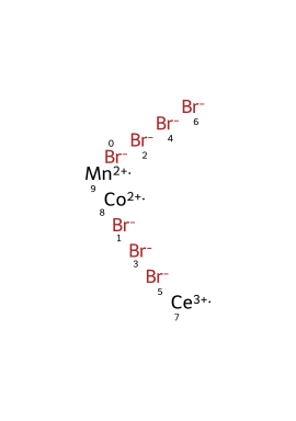 [Br-].[Br-].[Br-].[Br-].[Br-].[Br-].[Br-].[Ce+3].[Co+2].[Mn+2]